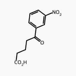 O=C(O)CCCC(=O)c1cccc([N+](=O)[O-])c1